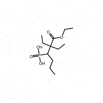 CCCC(C(CC)(CC)C(=O)OCC)P(=O)(O)O